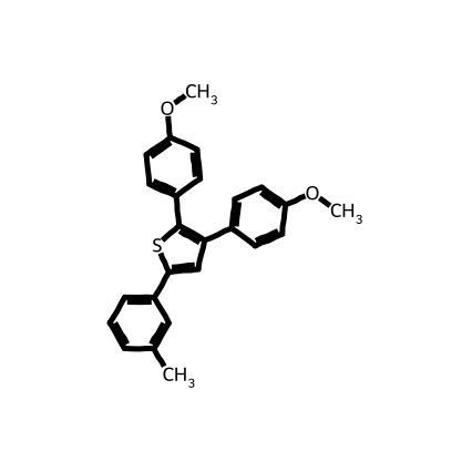 COc1ccc(-c2cc(-c3cccc(C)c3)sc2-c2ccc(OC)cc2)cc1